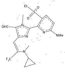 CCS(=O)(=O)c1ccc(NC)nc1-c1nc(/C=C(\N(C)C2CC2)C(F)(F)F)c(C=O)n1C